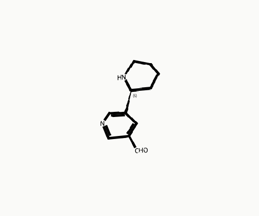 O=Cc1cncc([C@@H]2CCCCN2)c1